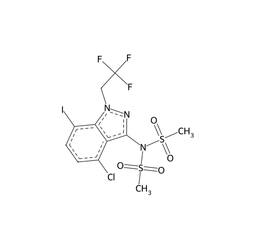 CS(=O)(=O)N(c1nn(CC(F)(F)F)c2c(I)ccc(Cl)c12)S(C)(=O)=O